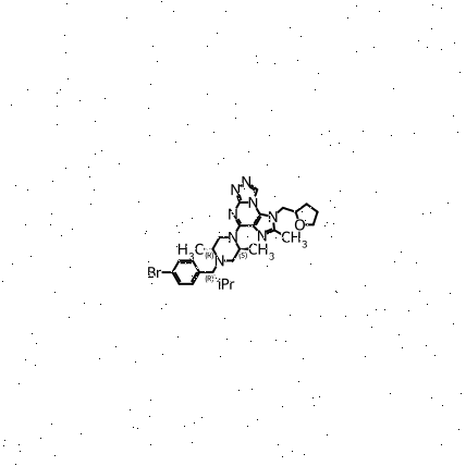 Cc1nc2c(N3C[C@@H](C)N([C@@H](c4ccc(Br)cc4)C(C)C)C[C@@H]3C)nc3nncn3c2n1CC1CCCO1